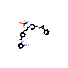 Nc1ccccc1NC(=O)c1ccc(CCCN2CCC(CNC3CC3c3ccc(F)cc3)CC2)cc1.O=C(O)C(F)(F)F